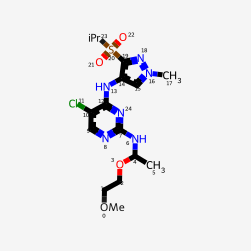 COCCOC(C)Nc1ncc(Cl)c(Nc2cn(C)nc2S(=O)(=O)C(C)C)n1